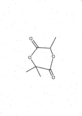 CC1OC(=O)C(C)(C)OC1=O